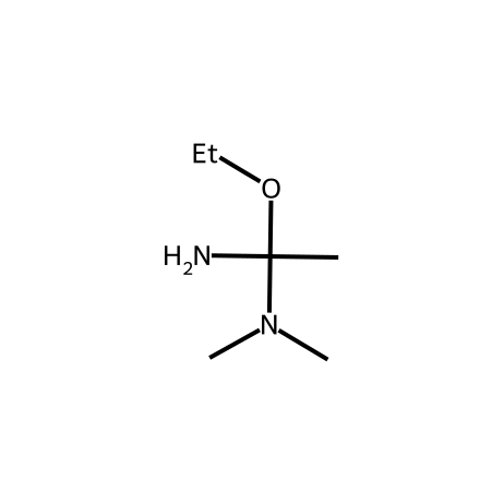 CCOC(C)(N)N(C)C